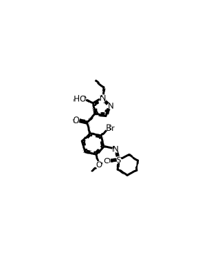 CCn1ncc(C(=O)c2ccc(OC)c(N=S3(=O)CCCCC3)c2Br)c1O